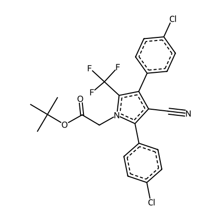 CC(C)(C)OC(=O)Cn1c(-c2ccc(Cl)cc2)c(C#N)c(-c2ccc(Cl)cc2)c1C(F)(F)F